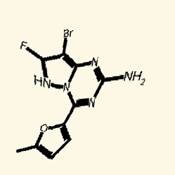 Cc1ccc(C2=NC(N)=NC3=C(Br)C(F)NN23)o1